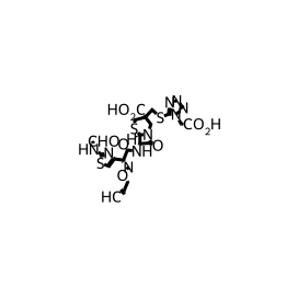 C#CCON=C(C(=O)NC1C(=O)N2CC(CSc3nnnn3CC(=O)O)(C(=O)O)CS[C@H]12)c1csc(NC=O)n1